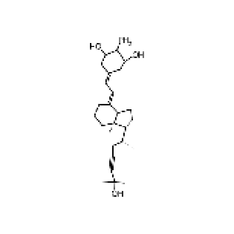 C[C@H](CC#CC(C)(C)O)[C@H]1CCC2/C(=C/C=C3CC(O)C(P)C(O)C3)CCC[C@@]21C